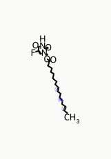 CC/C=C/C/C=C/C/C=C/CCCCCCCC(=O)OCn1cc(F)c(=O)[nH]c1=O